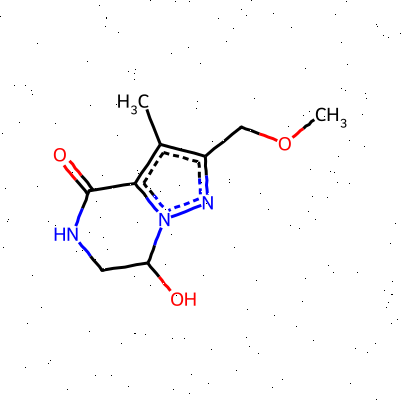 COCc1nn2c(c1C)C(=O)NCC2O